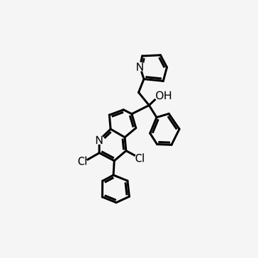 OC(Cc1ccccn1)(c1ccccc1)c1ccc2nc(Cl)c(-c3ccccc3)c(Cl)c2c1